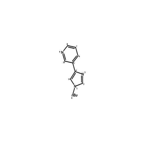 CCC[CH]n1cnc(-c2cccnc2)c1